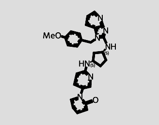 COc1ccc(Cn2c(N[C@H]3CC[C@H](Nc4ccc(-n5ccccc5=O)cn4)C3)nc3ncccc32)cc1